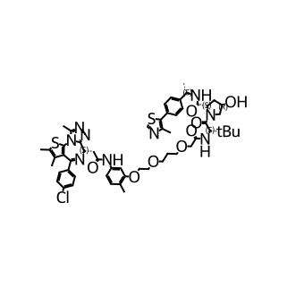 Cc1ccc(NC(=O)C[C@@H]2N=C(c3ccc(Cl)cc3)c3c(sc(C)c3C)-n3c(C)nnc32)cc1OCCOCCCOCC(=O)N[C@H](C(=O)N1C[C@H](O)C[C@H]1C(=O)N[C@@H](C)c1ccc(-c2scnc2C)cc1)C(C)(C)C